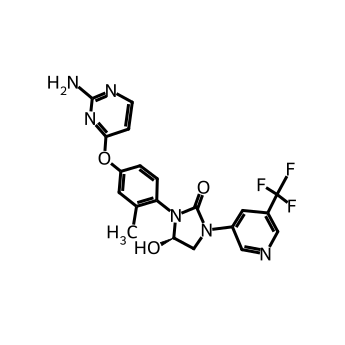 Cc1cc(Oc2ccnc(N)n2)ccc1N1C(=O)N(c2cncc(C(F)(F)F)c2)C[C@H]1O